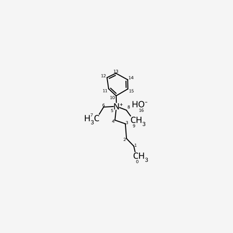 CCCCC[N+](CC)(CC)c1ccccc1.[OH-]